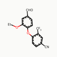 CCOc1cc(C=O)ccc1Oc1ccc(C#N)cc1C(F)(F)F